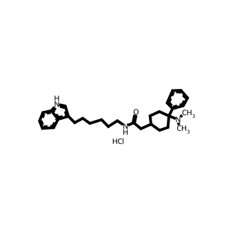 CN(C)C1(c2ccccc2)CCC(CC(=O)NCCCCCCc2c[nH]c3ccccc23)CC1.Cl